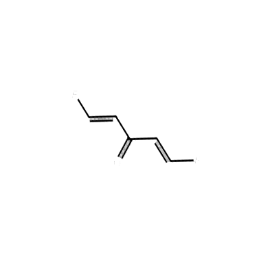 O=C(C=CF)C=CF